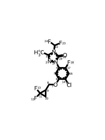 Cc1nn(-c2cc(OCC3CC3(F)F)c(Cl)cc2F)c(=O)n1C(F)F